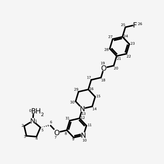 BN1CCC[C@H]1COc1cncc(N2CCC(CCOCc3ccc(CF)cc3)CC2)c1